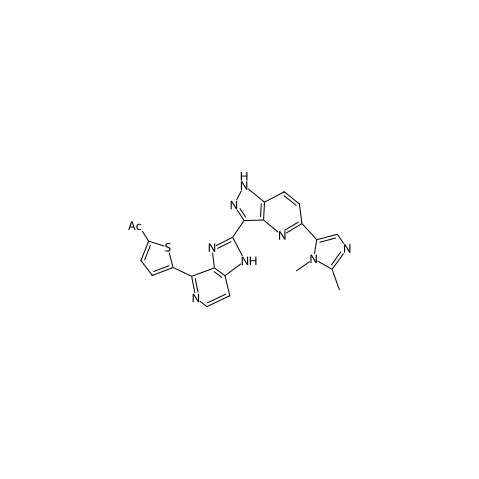 CC(=O)c1ccc(-c2nccc3[nH]c(-c4n[nH]c5ccc(-c6cnc(C)n6C)nc45)nc23)s1